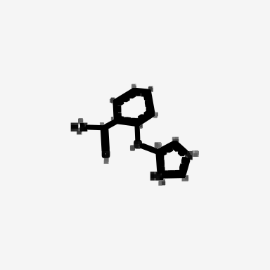 NC(=O)c1ccccc1Oc1cnc[nH]1